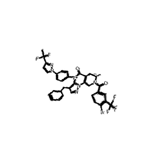 C[C@@H]1Cc2c(n3ncc(Cc4ccccc4)c3n(-c3ccc(-n4ccc(C(C)(F)F)n4)cc3)c2=O)CN1C(=O)c1ccc(Br)c(C(F)(F)F)c1